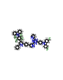 Fc1ccc2c(c1)c1cc(F)ccc1n2-c1ccc(-c2nc(-c3ccccn3)nc(-c3cc(-c4ccc(-c5cc(-c6c(F)c(F)c(-n7c8ccccc8c8ccccc87)c(F)c6F)cc(-c6ccccc6)n5)cc4)ccn3)n2)cc1